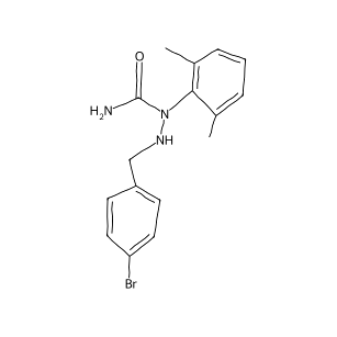 Cc1cccc(C)c1N(NCc1ccc(Br)cc1)C(N)=O